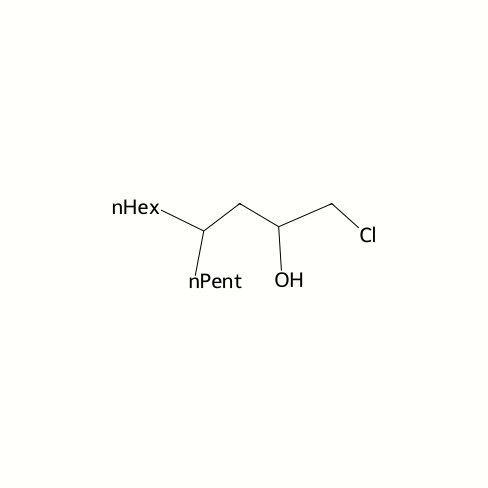 CCCCCCC(CCCCC)CC(O)CCl